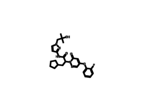 CC(C)(O)Cn1ccc(NC(=O)C(CC2CCCC2)n2ncc(Oc3ccccc3F)cc2=O)n1